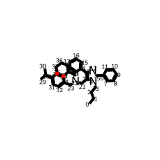 CCCCn1c(-c2ccccc2)nc(-c2ccccc2)c1CN(Cc1ccc(C(C)C)cc1)CC1CCCCC1